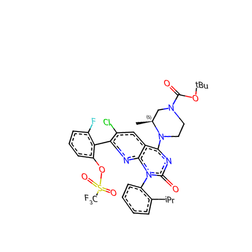 CC(C)c1ccccc1-n1c(=O)nc(N2CCN(C(=O)OC(C)(C)C)C[C@@H]2C)c2cc(Cl)c(-c3c(F)cccc3OS(=O)(=O)C(F)(F)F)nc21